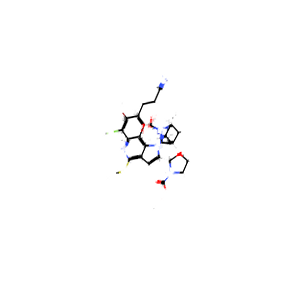 COC(=O)N1CCC[C@@H]1c1cc2c(SC)nc3c(F)c(Br)c(CCC#N)cc3c2n1[C@H]1[C@@H]2C[C@H]1N(C(=O)O)C2